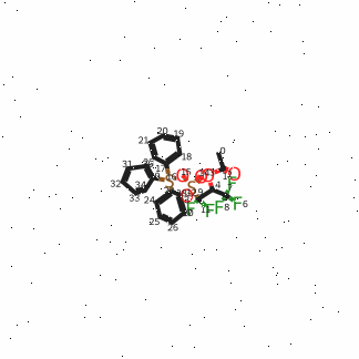 CC(=O)OC(C(F)(F)F)C(F)(F)S(=O)(=O)OS(c1ccccc1)(c1ccccc1)c1ccccc1